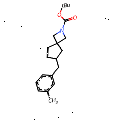 Cc1cccc(CC2CCC3(C2)CN(C(=O)OC(C)(C)C)C3)c1